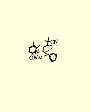 COc1ccc(C)c(C[C@H](C(=O)C(C)(C)C#N)[C@@H](C(C)C)S(C)(C)c2ccccc2)n1